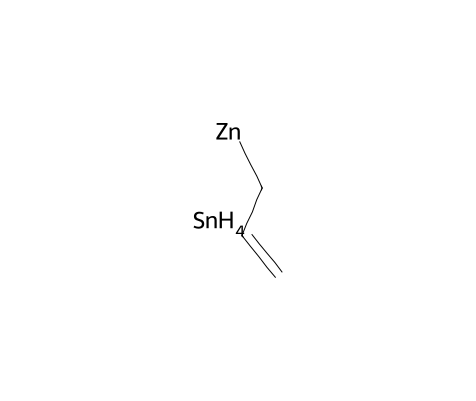 C=C[CH2][Zn].[SnH4]